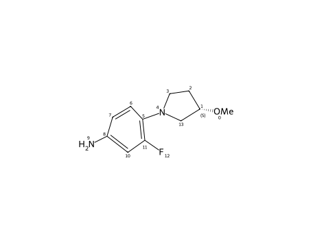 CO[C@H]1CCN(c2ccc(N)cc2F)C1